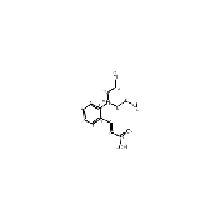 O=C(O)/C=C/c1ccccc1N(CCCl)CCCl